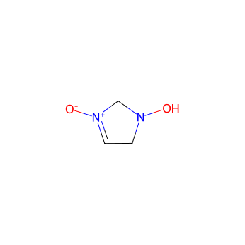 [O-][N+]1=CCN(O)C1